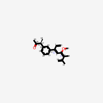 C=C/C(=C\C(OC)=C(\C)C(=C)C)c1cccc([C@H](C)C(C)=O)c1